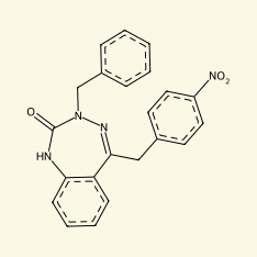 O=C1Nc2ccccc2C(Cc2ccc([N+](=O)[O-])cc2)=NN1Cc1ccccc1